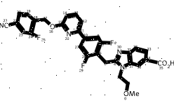 COCCn1c(Cc2c(F)cc(-c3cccc(OCc4ccc(C#N)cc4F)n3)cc2F)nc2ccc(C(=O)O)cc21